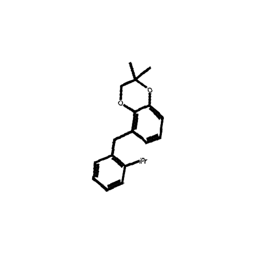 CC(C)c1[c]cccc1Cc1cccc2c1OCC(C)(C)O2